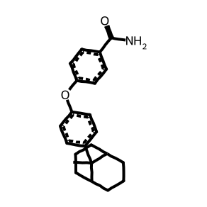 CC1(c2ccc(Oc3ccc(C(N)=O)cc3)cc2)C2CCCC1CCC2